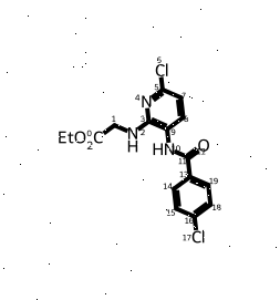 CCOC(=O)CNc1nc(Cl)ccc1NC(=O)c1ccc(Cl)cc1